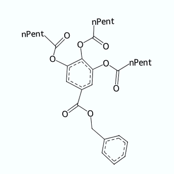 CCCCCC(=O)Oc1cc(C(=O)OCc2ccccc2)cc(OC(=O)CCCCC)c1OC(=O)CCCCC